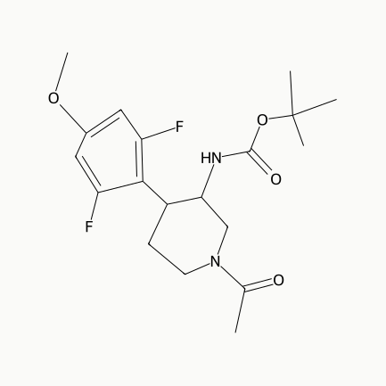 COc1cc(F)c(C2CCN(C(C)=O)CC2NC(=O)OC(C)(C)C)c(F)c1